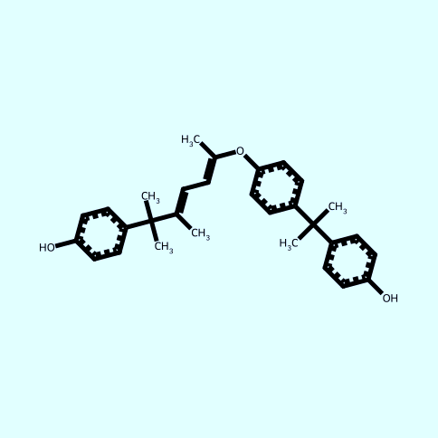 C/C(=C\C=C(/C)C(C)(C)c1ccc(O)cc1)Oc1ccc(C(C)(C)c2ccc(O)cc2)cc1